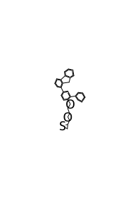 c1ccc(-c2cc(-c3cccc4c3Cc3ccccc3-4)ccc2OCCOCC2CS2)cc1